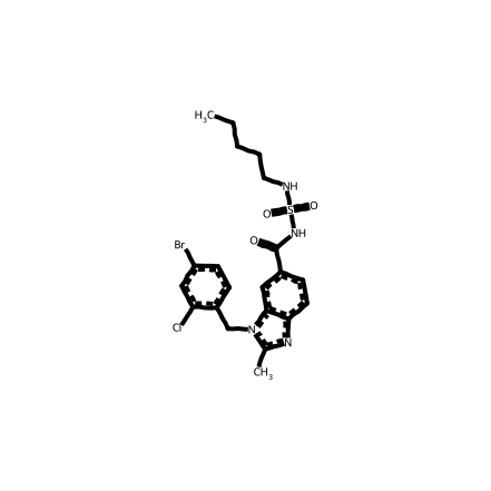 CCCCCNS(=O)(=O)NC(=O)c1ccc2nc(C)n(Cc3ccc(Br)cc3Cl)c2c1